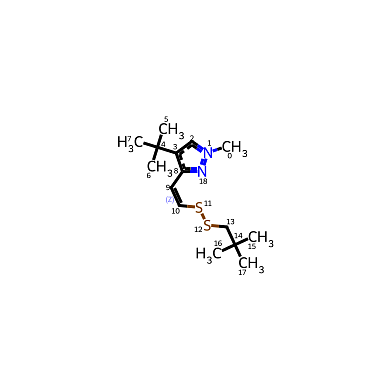 Cn1cc(C(C)(C)C)c(/C=C\SSCC(C)(C)C)n1